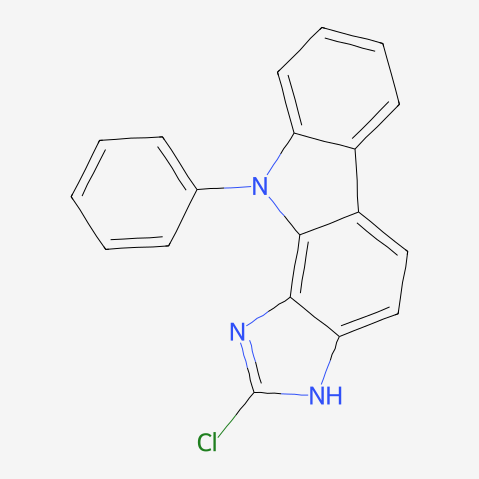 Clc1nc2c(ccc3c4ccccc4n(-c4ccccc4)c32)[nH]1